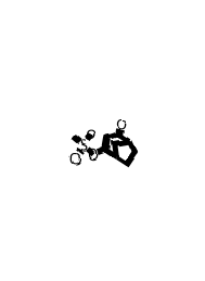 CS(=O)(=O)OC1=CC(=O)C2CCC1C2